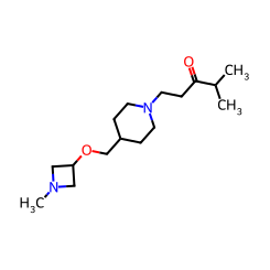 CC(C)C(=O)CCN1CCC(COC2CN(C)C2)CC1